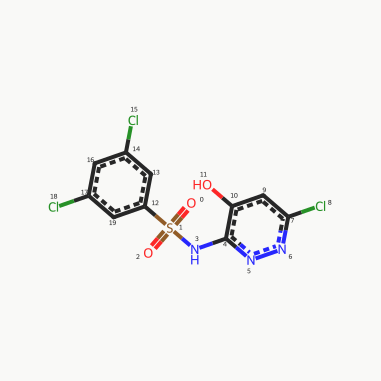 O=S(=O)(Nc1nnc(Cl)cc1O)c1cc(Cl)cc(Cl)c1